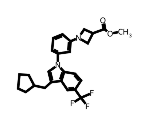 COC(=O)C1CN(c2cccc(-n3cc(CC4CCCC4)c4cc(C(F)(F)F)ccc43)c2)C1